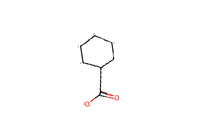 [O]C(=O)[C]1[C][C][C][CH]C1